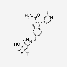 CCC(O)(c1cn(Cc2ccc3c(-c4ccnc(C)c4)c(C(N)=O)sc3c2)nn1)C(F)(F)F